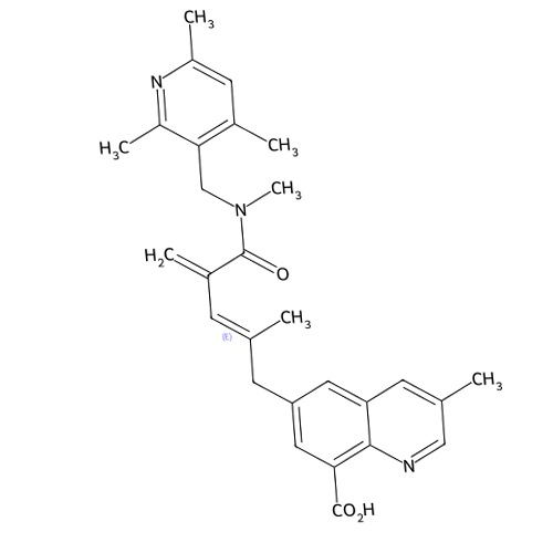 C=C(/C=C(\C)Cc1cc(C(=O)O)c2ncc(C)cc2c1)C(=O)N(C)Cc1c(C)cc(C)nc1C